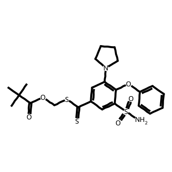 CC(C)(C)C(=O)OCSC(=S)c1cc(N2CCCC2)c(Oc2ccccc2)c(S(N)(=O)=O)c1